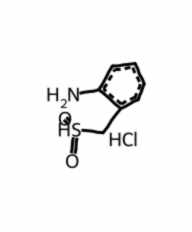 Cl.Nc1ccccc1C[SH](=O)=O